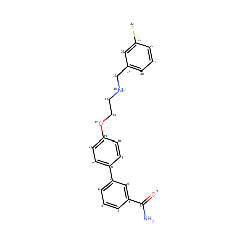 NC(=O)c1cccc(-c2ccc(OCCNCc3cccc(F)c3)cc2)c1